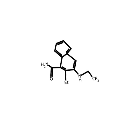 CCc1c(NCC(F)(F)F)cc2ccccc2c1C(N)=O